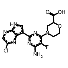 Nc1nc(-c2c[nH]c3ncc(Cl)nc23)nc(N2CCOC(C(=O)O)C2)c1F